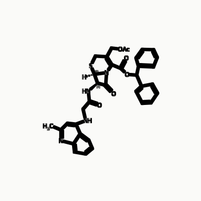 CC(=O)OCC1=C(C(=O)OC(c2ccccc2)c2ccccc2)N2C(=O)[C@@H](NC(=O)CNc3cc(C)nc4ccccc34)[C@H]2SC1